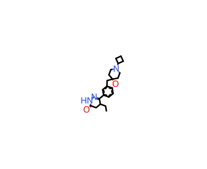 CCC1CC(=O)NN=C1c1ccc2c(c1)CC1(CCN(C3CCC3)CC1)O2